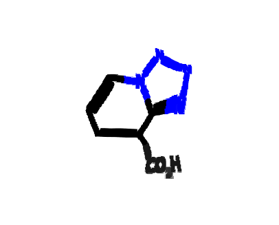 O=C(O)c1cccn2nnnc12